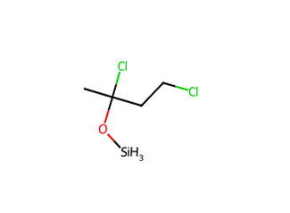 CC(Cl)(CCCl)O[SiH3]